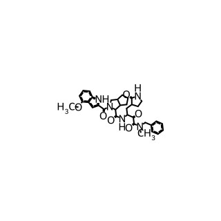 COc1cccc2[nH]c(C(=O)N3CC4CCCC4C3C(=O)NC(CC3CCNC3=O)C(=O)C(=O)N(C)Cc3ccccc3)cc12